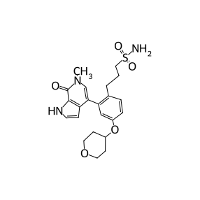 Cn1cc(-c2cc(OC3CCOCC3)ccc2CCCS(N)(=O)=O)c2cc[nH]c2c1=O